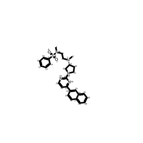 CN(CCN(C)S(=O)(=O)c1ccccc1)[C@@H]1CCN(c2nccc(-c3ccc4ccccc4c3)n2)C1